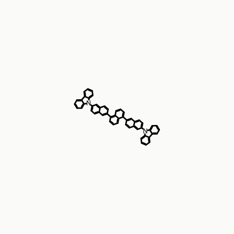 c1cc(-c2ccc3cc(-n4c5ccccc5c5ccccc54)ccc3c2)c2cccc(-c3ccc4cc(-n5c6ccccc6c6ccccc65)ccc4c3)c2c1